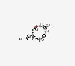 CO/C(COC(=O)N1CCCOc2ccc(cc2Cl)CNc2nc(nc(OCC(F)(F)F)n2)Nc2ccc(cc2)C(=O)NCC(C)(C)C1)=C(/C)OC=O